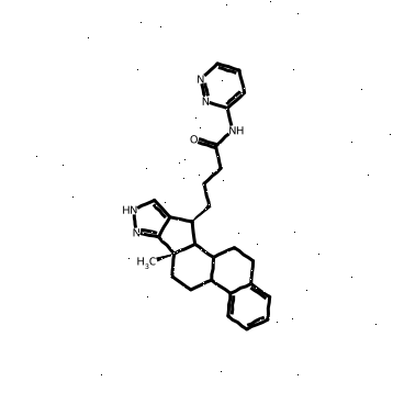 C[C@]12CCC3c4ccccc4CCC3C1[C@H](CCCC(=O)Nc1cccnn1)c1c[nH]nc12